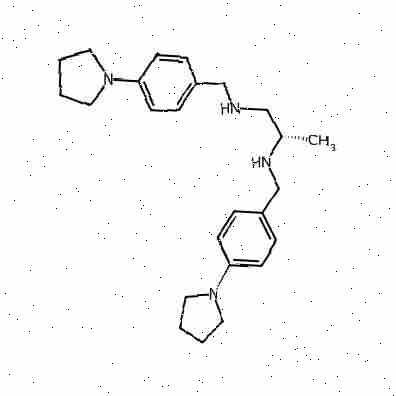 C[C@@H](CNCc1ccc(N2CCCC2)cc1)NCc1ccc(N2CCCC2)cc1